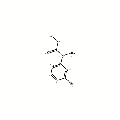 CCc1ccnc(N(C(=O)CC(C)C)C(C)CC)n1